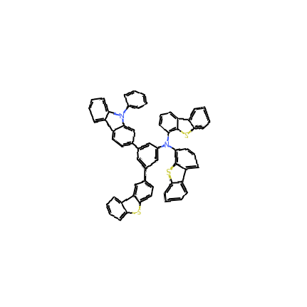 c1ccc(-n2c3ccccc3c3ccc(-c4cc(-c5ccc6sc7ccccc7c6c5)cc(N(c5cccc6c5sc5ccccc56)c5cccc6c5sc5ccccc56)c4)cc32)cc1